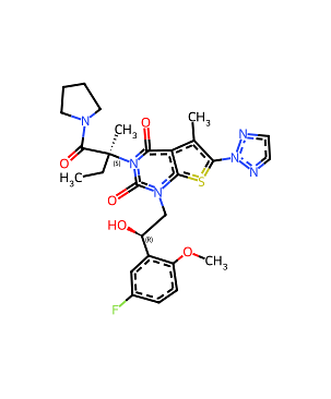 CC[C@@](C)(C(=O)N1CCCC1)n1c(=O)c2c(C)c(-n3nccn3)sc2n(C[C@H](O)c2cc(F)ccc2OC)c1=O